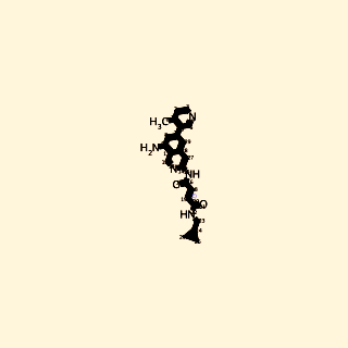 Cc1ccncc1-c1cc(N)c2cnc(NC(=O)/C=C/C(=O)NCC3CC3)cc2c1